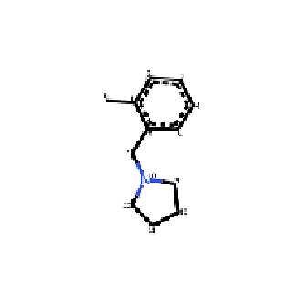 Cc1[c]cccc1CN1CCCC1